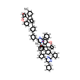 N#Cc1ccc2c(c1)C1(c3ccccc3Oc3ccccc31)c1cc(-c3ccc(-c4cccc(-c5cc(-c6ccc(-c7cccc(-c8cc(-c9ccccc9)nc(-c9ccccc9-c9ccc%10c(c9)C9(c%11ccccc%11Oc%11ccccc%119)c9cc(C#N)ccc9-%10)n8)c7)cc6)nc(-c6ccccc6)n5)c4)cc3)ccc1-2